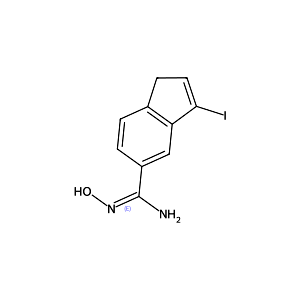 N/C(=N/O)c1ccc2c(c1)C(I)=CC2